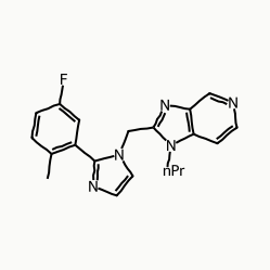 CCCn1c(Cn2ccnc2-c2cc(F)ccc2C)nc2cnccc21